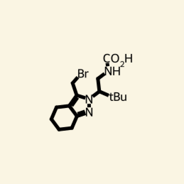 CC(C)(C)C(CNC(=O)O)n1nc2c(c1CBr)CCCC2